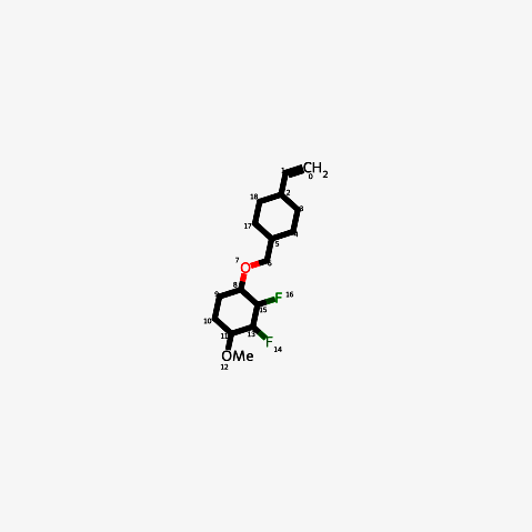 C=CC1CCC(COC2CCC(OC)C(F)C2F)CC1